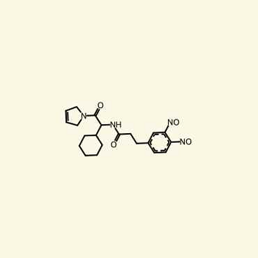 O=Nc1ccc(CCC(=O)NC(C(=O)N2CC=CC2)C2CCCCC2)cc1N=O